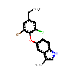 CCCCCCc1c[nH]c2ccc(Oc3c(Cl)cc(CC(=O)O)cc3Br)cc12